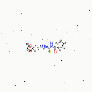 CC1(CCCCNC(=S)NC(=O)c2ccccc2)OCCO1